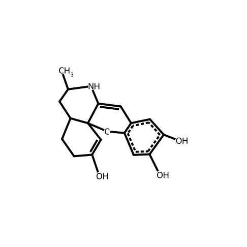 CC1CC2CCC(O)=CC23Cc2cc(O)c(O)cc2C=C3N1